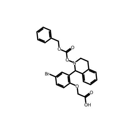 O=C(O)COc1ccc(Br)cc1C1c2ccccc2CCN1OC(=O)OCc1ccccc1